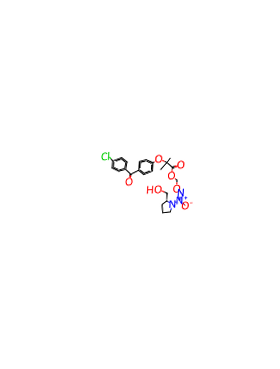 CC(C)(Oc1ccc(C(=O)c2ccc(Cl)cc2)cc1)C(=O)OCO/N=[N+](/[O-])N1CCC[C@H]1CO